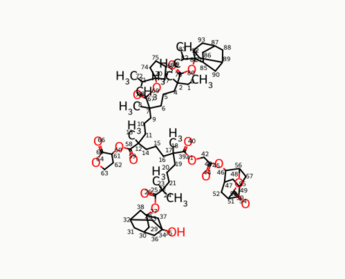 CCC(C)(CCCC(C)(CCCC(C)(CCCC(C)(CCCC(C)(C)C(=O)OC12CC3CC(CC(O)(C3)C1)C2)C(=O)OCC(=O)OC1C2CC3CC(C2)C(=O)OC1C3)C(=O)OC1CCOC1=O)C(=O)OC1(C(C)C)CCCC1)C(=O)OC1(C(C)C)C2CC3CC(C2)CC1C3